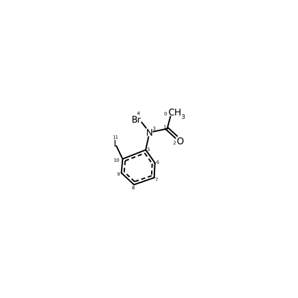 CC(=O)N(Br)c1ccccc1I